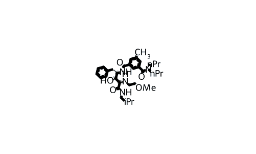 CCCN(CCC)C(=O)c1cc(C)cc(C(=O)N[C@@H](Cc2ccccc2)[C@@H](O)[C@@H](NCCOC)C(=O)NCC(C)C)c1